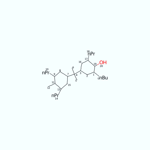 CCCCC1CC(C(C)(C)C2CC(CCC)C(C)C(CCC)C2)CC(CCC)C1O